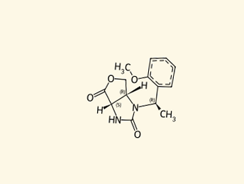 COc1ccccc1[C@@H](C)N1C(=O)N[C@@H]2C(=O)OC[C@@H]21